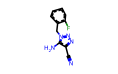 N#Cc1nnn(Cc2ccccc2F)c1N